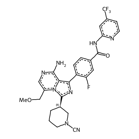 COCc1cnc(N)c2c(-c3ccc(C(=O)Nc4cc(C(F)(F)F)ccn4)cc3F)nc([C@@H]3CCCN(C#N)C3)n12